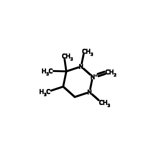 C=[N+]1N(C)CC(C)C(C)(C)N1C